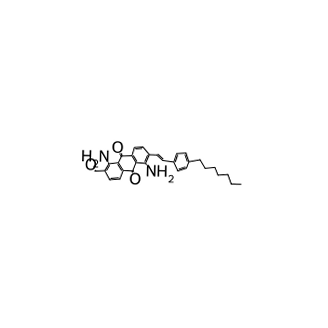 CCCCCCCc1ccc(C=Cc2ccc3c(c2N)C(=O)c2ccc(C=O)c(N)c2C3=O)cc1